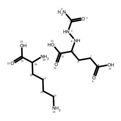 NC(=O)NNC(CCC(=O)O)C(=O)O.NCCCCC(N)C(=O)O